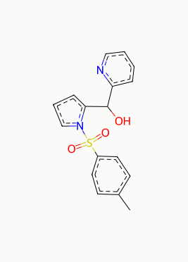 Cc1ccc(S(=O)(=O)n2cccc2C(O)c2ccccn2)cc1